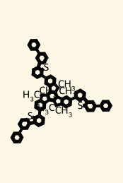 CC1(C)c2ccc(-c3cccc4c3sc3ccc(-c5ccccc5)cc34)cc2-c2c1c1c(c3c2C(C)(C)c2ccc(-c4cccc5c4sc4ccc(-c6ccccc6)cc45)cc2-3)C(C)(C)c2ccc(-c3cccc4c3sc3ccc(-c5ccccc5)cc34)cc2-1